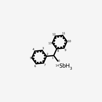 CC(c1ccccc1)c1ccccc1.[SbH3]